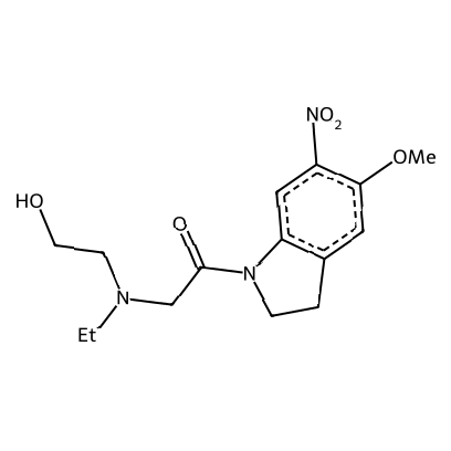 CCN(CCO)CC(=O)N1CCc2cc(OC)c([N+](=O)[O-])cc21